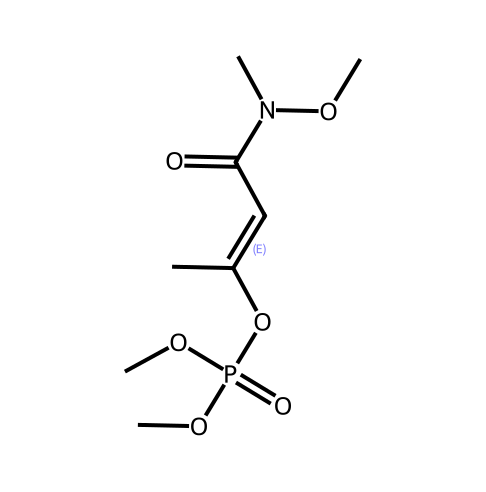 CON(C)C(=O)/C=C(\C)OP(=O)(OC)OC